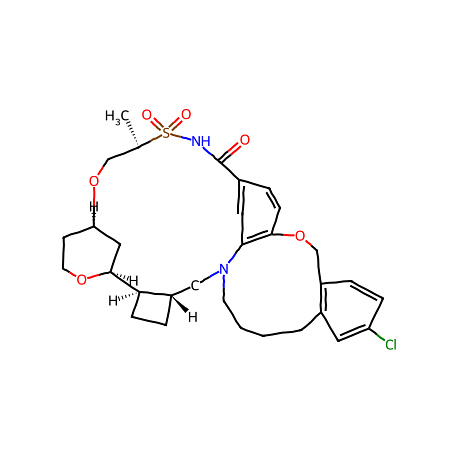 C[C@H]1CO[C@@H]2CCO[C@@H](C2)[C@@H]2CC[C@H]2CN2CCCCc3cc(Cl)ccc3COc3ccc(cc32)C(=O)NS1(=O)=O